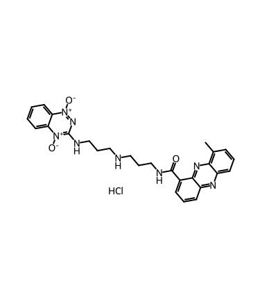 Cc1cccc2nc3cccc(C(=O)NCCCNCCCNc4n[n+]([O-])c5ccccc5[n+]4[O-])c3nc12.Cl